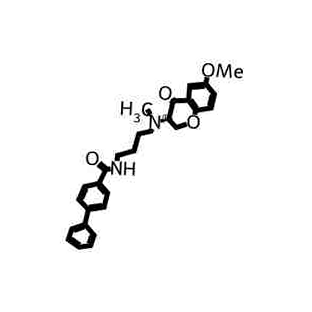 COc1ccc2c(c1)C(=O)[C@H](N(C)CCCCNC(=O)c1ccc(-c3ccccc3)cc1)CO2